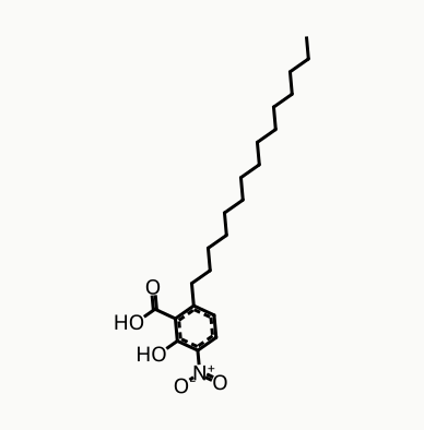 CCCCCCCCCCCCCCCc1ccc([N+](=O)[O-])c(O)c1C(=O)O